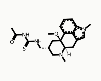 CO[C@]12C[C@@H](CNC(=S)NC(C)=O)CN(C)[C@@H]1Cc1cn(C)c3cccc2c13